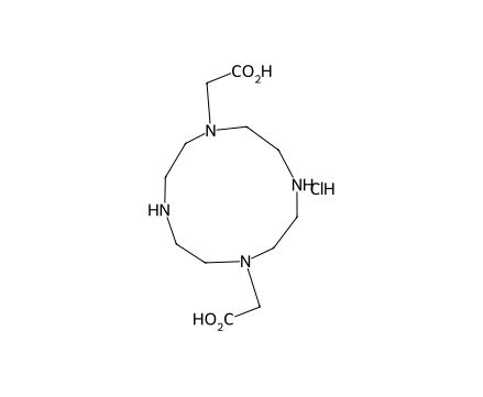 Cl.O=C(O)CN1CCNCCN(CC(=O)O)CCNCC1